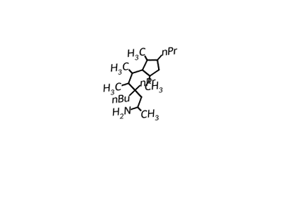 CCCCC(CCC)(CC(C)N)C(C)C(C)C1C(C)CC(CCC)C1C